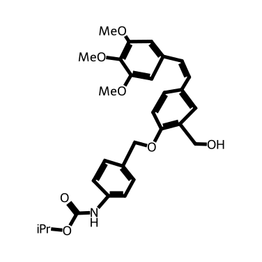 COc1cc(/C=C\c2ccc(OCc3ccc(NC(=O)OC(C)C)cc3)c(CO)c2)cc(OC)c1OC